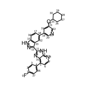 Fc1ccc(-c2ccnc3[nH]c(-c4n[nH]c5ccc(-c6cncc(OC7CCCCC7)c6)cc45)nc23)cc1